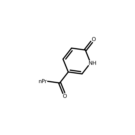 CCCC(=O)c1ccc(=O)[nH]c1